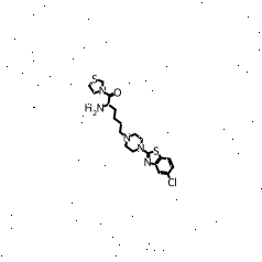 NC(CCCCN1CCN(c2nc3cc(Cl)ccc3s2)CC1)C(=O)N1CCSC1